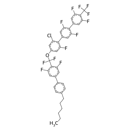 CCCCCCc1ccc(-c2cc(F)c(C(F)(F)Oc3cc(F)c(-c4cc(F)c(-c5cc(F)c(C(F)(F)F)c(F)c5)c(F)c4)c(Cl)c3)c(F)c2)cc1